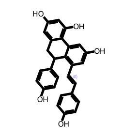 Oc1ccc(/C=C/c2cc(O)cc3c2C(c2ccc(O)cc2)Cc2cc(O)cc(O)c2-3)cc1